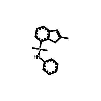 CC1=Cc2cccc(S(C)(C)Nc3ccccc3)c2C1